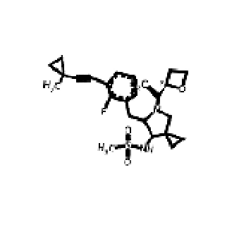 C=C([C@H]1CCO1)N1CC2(CC2)C(NS(C)(=O)=O)C1Cc1cccc(C#CC2(C)CC2)c1F